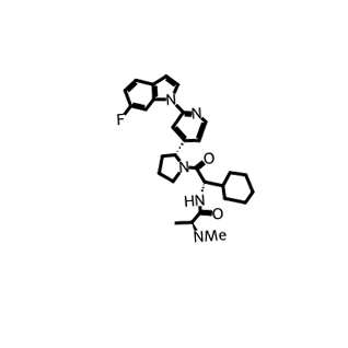 CN[C@@H](C)C(=O)N[C@H](C(=O)N1CCC[C@@H]1c1ccnc(-n2ccc3ccc(F)cc32)c1)C1CCCCC1